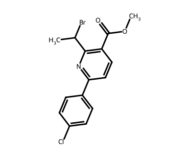 COC(=O)c1ccc(-c2ccc(Cl)cc2)nc1C(C)Br